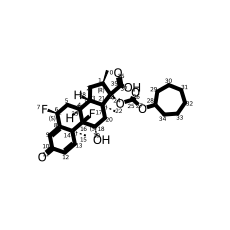 C[C@@H]1C[C@H]2[C@@H]3C[C@H](F)C4=CC(=O)C=C[C@]4(C)C3(F)[C@@H](O)C[C@]2(C)[C@]1(OC(=O)OC1CCCCCC1)C(=O)O